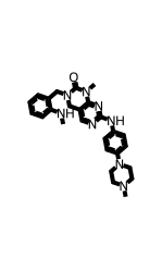 CNc1ccccc1CN1Cc2cnc(Nc3ccc(N4CCN(C)CC4)cc3)nc2N(C)C1=O